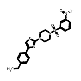 CCc1ccc(-c2csc(N3CCN(S(=O)(=O)c4cccc([N+](=O)[O-])c4)CC3)n2)cc1